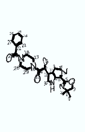 CC1(C)COC(c2nccc3c(C(=O)C(=O)N4CCN(C(=O)c5ccccc5)CC4)c[nH]c23)=N1